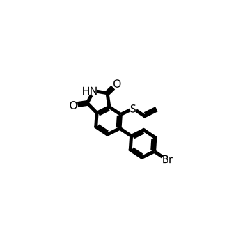 C=CSc1c(-c2ccc(Br)cc2)ccc2c1C(=O)NC2=O